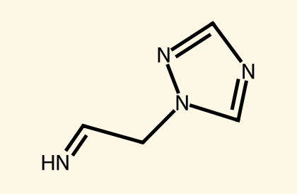 N=CCn1cncn1